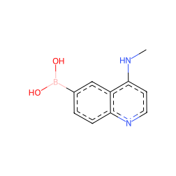 CNc1ccnc2ccc(B(O)O)cc12